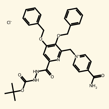 CC(C)(C)OC(=O)NNC(=O)c1cc(OCc2ccccc2)c(OCc2ccccc2)c(C[n+]2ccc(C(N)=O)cc2)n1.[Cl-]